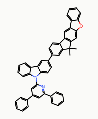 CC1(C)c2cc(-c3ccc4c(c3)c3ccccc3n4-c3cc(-c4ccccc4)cc(-c4ccccc4)n3)ccc2-c2cc3c(cc21)oc1ccccc13